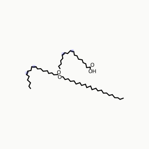 CCCCC/C=C\C/C=C\CCCCCCCC(=O)O.CCCCC/C=C\C/C=C\CCCCCCCC(=O)OCCCCCCCCCCCCCCCCCCCCCCC